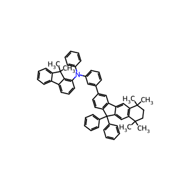 CC1(C)CCC(C)(C)c2cc3c(cc21)-c1cc(-c2cccc(N(c4ccccc4)c4cccc5c4C(C)(C)c4ccccc4-5)c2)ccc1C3(c1ccccc1)c1ccccc1